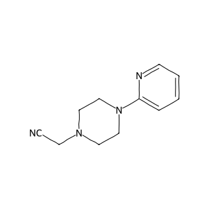 N#CCN1CCN(c2ccccn2)CC1